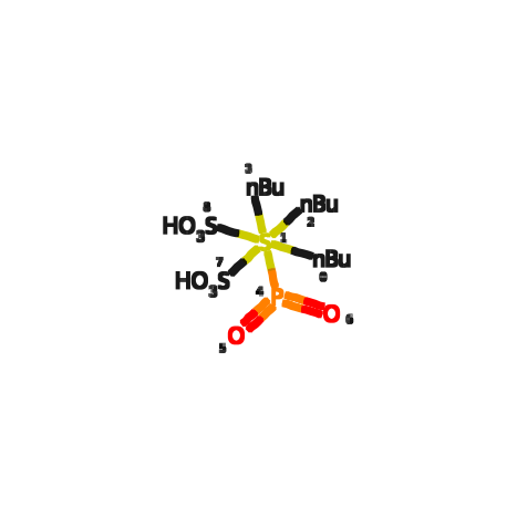 CCCCS(CCCC)(CCCC)(P(=O)=O)(S(=O)(=O)O)S(=O)(=O)O